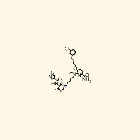 CCN(CCCC/C=C/C[C@H](C)[C@@H](C)[S+]([O-])NC(=O)c1cnn(C)c1)c1nc(C(N)=O)ccc1OCCCCc1cccc(Cl)c1